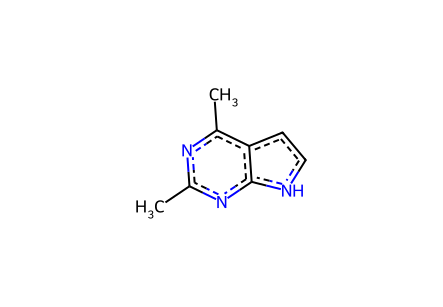 Cc1nc(C)c2cc[nH]c2n1